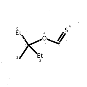 CCC(C)(CC)OC=S